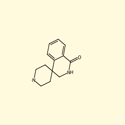 O=C1NCC2(CC[N]CC2)c2ccccc21